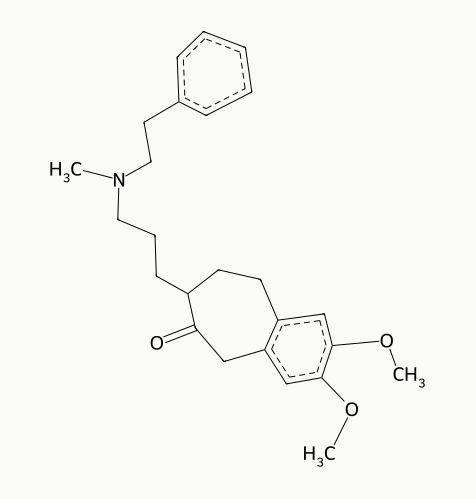 COc1cc2c(cc1OC)CC(=O)C(CCCN(C)CCc1ccccc1)CC2